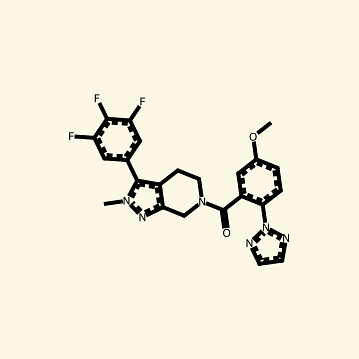 COc1ccc(-n2nccn2)c(C(=O)N2CCc3c(nn(C)c3-c3cc(F)c(F)c(F)c3)C2)c1